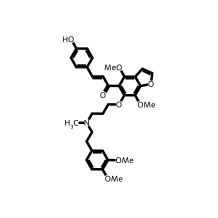 COc1ccc(CCN(C)CCCOc2c(C(=O)C=Cc3ccc(O)cc3)c(OC)c3ccoc3c2OC)cc1OC